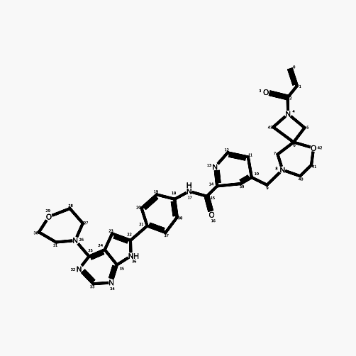 C=CC(=O)N1CC2(CN(Cc3ccnc(C(=O)Nc4ccc(-c5cc6c(N7CCOCC7)ncnc6[nH]5)cc4)c3)CCO2)C1